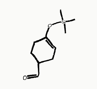 C[Si](C)(C)OC1=CCC(C=O)CC1